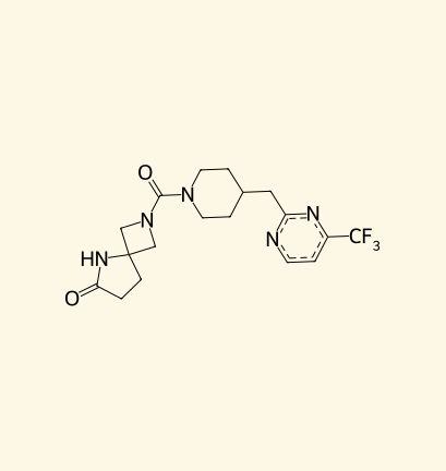 O=C1CCC2(CN(C(=O)N3CCC(Cc4nccc(C(F)(F)F)n4)CC3)C2)N1